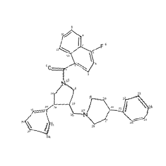 O=C(c1ccc(F)c2ccccc12)N1CC(CN2CCC(c3ccccc3)CC2)C(c2ccccc2)C1